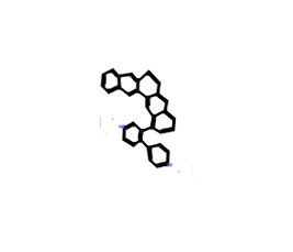 Nc1ccc(-c2ccc(N)cc2-c2cccc3cc4ccc5cc6ccccc6cc5c4cc23)cc1